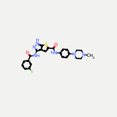 CN1CCN(c2ccc(NC(=O)c3cc4c(NC(=O)c5cccc(F)c5)n[nH]c4s3)cc2)CC1